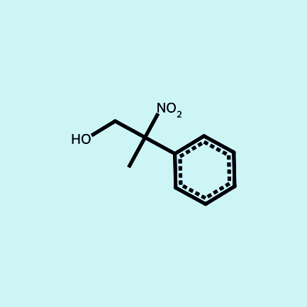 CC(CO)(c1ccccc1)[N+](=O)[O-]